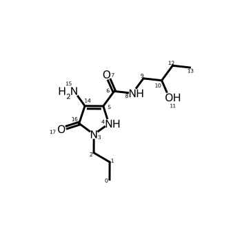 CCCn1[nH]c(C(=O)NCC(O)CC)c(N)c1=O